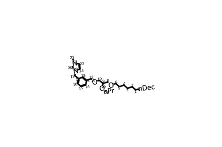 CCCCCCCCCCCCCCCCOCC(COCc1cccc(CN2[CH]N(C)C=C2)c1)OCCC